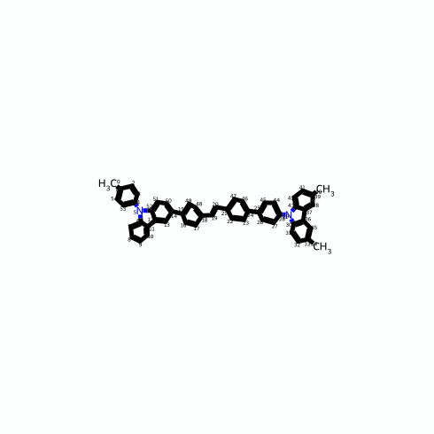 Cc1ccc(-n2c3ccccc3c3cc(-c4ccc(/C=C/c5ccc(-c6ccc(-n7c8ccc(C)cc8c8cc(C)ccc87)cc6)cc5)cc4)ccc32)cc1